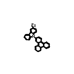 CCc1ccc2c(c1)c1ccccc1n2-c1ccc2c(c1)=C1C=CCCC1C1C=CC=CC=21